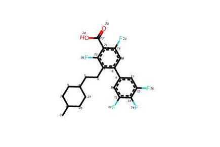 CC1CCC(CCc2c(-c3cc(F)c(F)c(F)c3)cc(F)c(C(=O)O)c2F)CC1